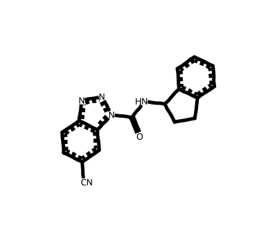 N#Cc1ccc2nnn(C(=O)NC3CCc4ccccc43)c2c1